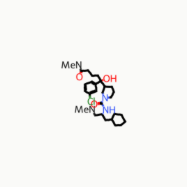 CNCC(CC1CCCCC1)NC(=O)N1CCCC(C(O)(CCCC(=O)NC)c2cccc(Cl)c2)C1